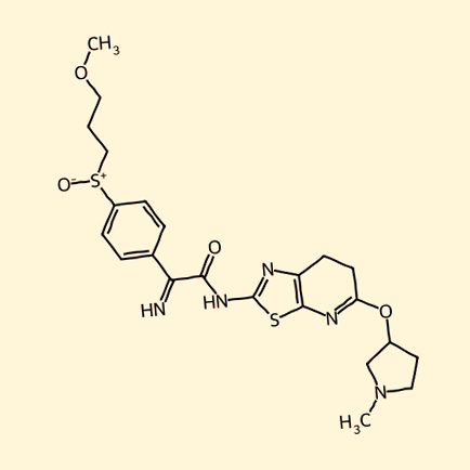 COCCC[S+]([O-])c1ccc(C(=N)C(=O)Nc2nc3c(s2)N=C(OC2CCN(C)C2)CC3)cc1